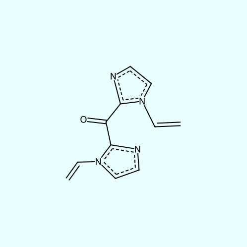 C=Cn1ccnc1C(=O)c1nccn1C=C